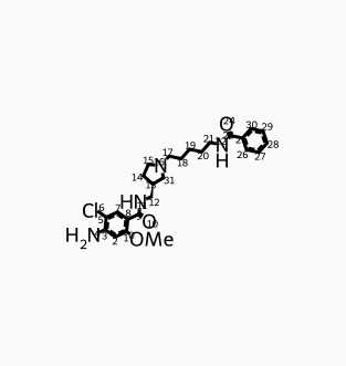 COc1cc(N)c(Cl)cc1C(=O)NC[C@H]1CCN(CCCCCNC(=O)c2ccccc2)C1